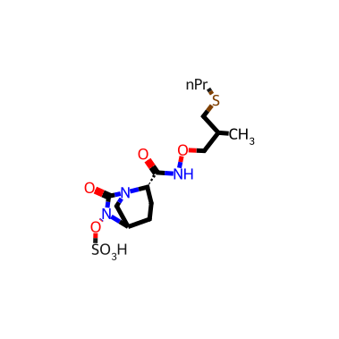 CCCSCC(C)CONC(=O)[C@@H]1CCC2CN1C(=O)N2OS(=O)(=O)O